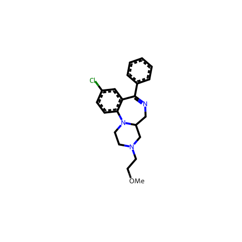 COCCN1CCN2c3ccc(Cl)cc3C(c3ccccc3)=NCC2C1